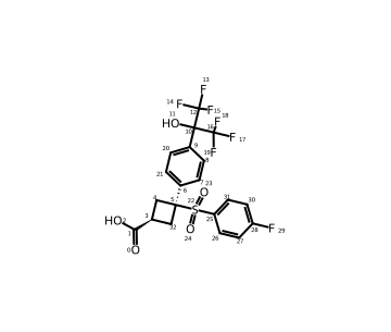 O=C(O)[C@H]1C[C@@](c2ccc(C(O)(C(F)(F)F)C(F)(F)F)cc2)(S(=O)(=O)c2ccc(F)cc2)C1